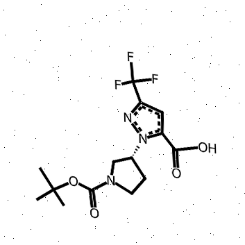 CC(C)(C)OC(=O)N1CC[C@@H](n2nc(C(F)(F)F)cc2C(=O)O)C1